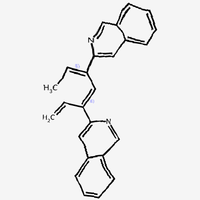 C=C/C(=C\C(=C/C)c1cc2ccccc2cn1)c1cc2ccccc2cn1